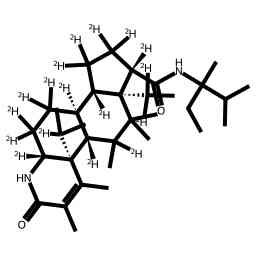 [2H]C1([2H])C([2H])([2H])[C@@]2([2H])NC(=O)C(C)=C(C)[C@]2(C([2H])(C)C)[C@@]2([2H])C([2H])(C)C(C)(C)[C@@]3(C([2H])([2H])C)[C@@]([2H])(C([2H])([2H])C([2H])([2H])[C@]3([2H])C(=O)NC(C)(CC)C(C)C)[C@]12[2H]